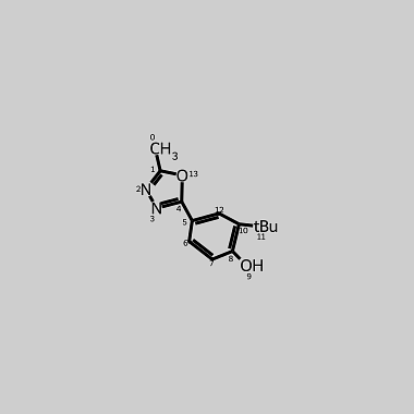 Cc1nnc(-c2ccc(O)c(C(C)(C)C)c2)o1